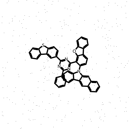 c1ccc(-c2nc(-c3ccc4sc5ccccc5c4c3)nc(-c3c(-n4c5ccccc5c5cc6ccccc6cc54)ccc4c3oc3ccccc34)n2)cc1